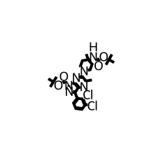 Cc1nc2c(-c3cccc(Cl)c3Cl)nn(C(=O)OC(C)(C)C)c2nc1N1CCC(C)(NC(=O)OC(C)(C)C)CC1